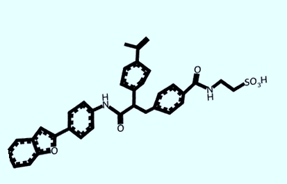 C=C(C)c1ccc(C(Cc2ccc(C(=O)NCCS(=O)(=O)O)cc2)C(=O)Nc2ccc(-c3cc4ccccc4o3)cc2)cc1